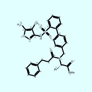 CNC(=O)[C@H](C(C)C)N(Cc1ccc(-c2ccccc2S(=O)(=O)Nc2noc(C)c2C)cc1)C(=O)CCc1ccccc1